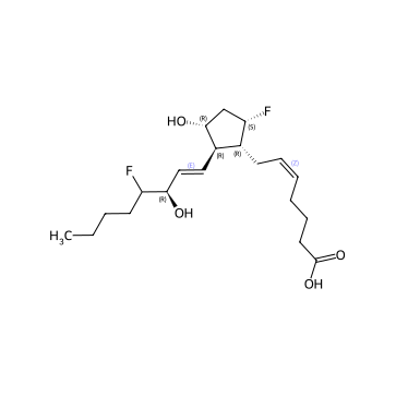 CCCCC(F)[C@H](O)/C=C/[C@@H]1[C@@H](C/C=C\CCCC(=O)O)[C@@H](F)C[C@H]1O